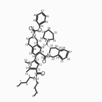 CCCCN(CCCC)C(=O)c1cc(-c2cc3c(cc2C(=O)N2Cc4ccccc4C[C@H]2CN2CCCCC2)CN(C(=O)Oc2ccccc2)CC3)n(C)c1C